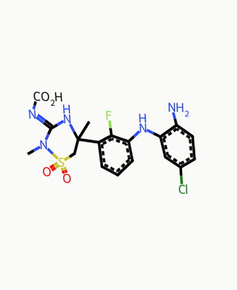 CN1C(=NC(=O)O)NC(C)(c2cccc(Nc3cc(Cl)ccc3N)c2F)CS1(=O)=O